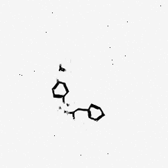 CC(C)(C)C(=O)Oc1ccc(S(=O)(=O)NC(Cc2ccccc2)C(=O)O)cc1